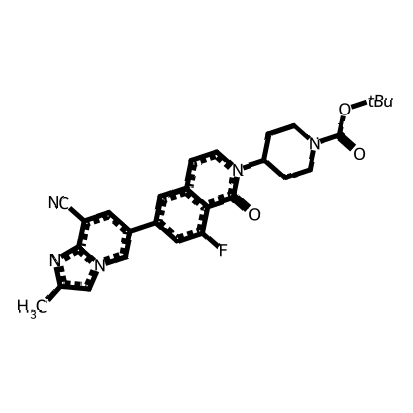 Cc1cn2cc(-c3cc(F)c4c(=O)n(C5CCN(C(=O)OC(C)(C)C)CC5)ccc4c3)cc(C#N)c2n1